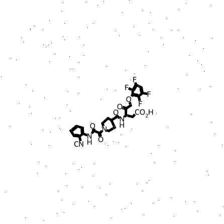 N#Cc1ccccc1NC(=O)C(=O)N1CCC(C(=O)NC(CC(=O)O)C(=O)COc2c(F)c(F)cc(F)c2F)CC1